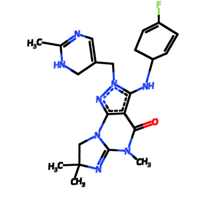 CC1=NC=C(Cn2nc3c(c2NC2C=CC(F)=CC2)C(=O)N(C)C2=NC(C)(C)CN23)CN1